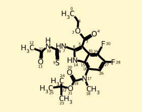 CCOC(=O)c1c(NC(=S)NC(C)=O)[nH]c2c(N(C)C(=O)OC(C)(C)C)cc(F)c(F)c12